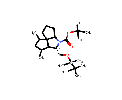 CC1CC(C)C23CCCC2N(C(=O)OC(C)(C)C)[C@H](CO[Si](C)(C)C(C)(C)C)C13